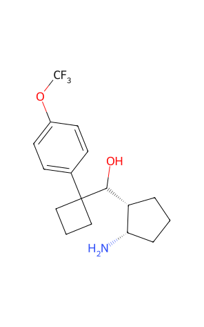 N[C@H]1CCC[C@H]1C(O)C1(c2ccc(OC(F)(F)F)cc2)CCC1